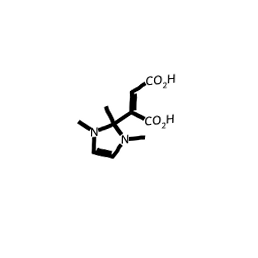 CN1C=CN(C)C1(C)/C(=C/C(=O)O)C(=O)O